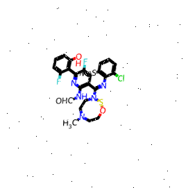 CSc1cccc(Cl)c1/N=C(\c1cc(F)c(-c2c(O)cccc2F)nc1NC=O)N1CCN(C)CCOS1